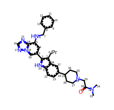 CC(C)c1c(-c2cc(NCc3ccccc3)c3ncnn3c2)[nH]c2ccc(C3CCN(CC(=O)N(C)C)CC3)cc12